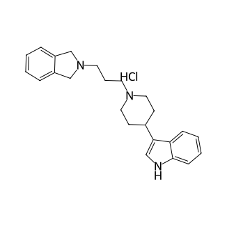 Cl.c1ccc2c(c1)CN(CCCN1CCC(c3c[nH]c4ccccc34)CC1)C2